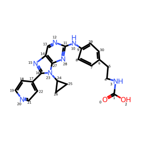 O=C(O)NCCc1ccc(Nc2ncc3nc(-c4ccncc4)n(C4CC4)c3n2)cc1